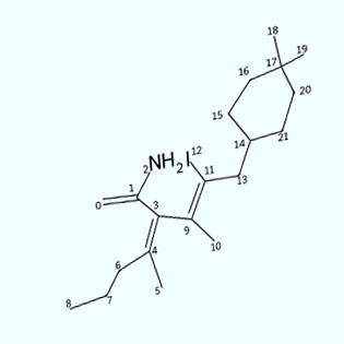 C=C(N)C(=C(/C)CCC)/C(C)=C(\I)CC1CCC(C)(C)CC1